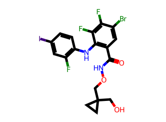 O=C(NOCC1(CO)CC1)c1cc(Br)c(F)c(F)c1Nc1ccc(I)cc1F